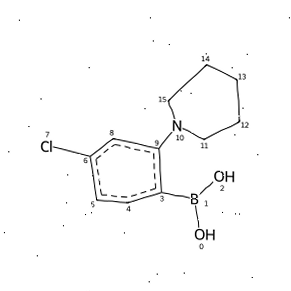 OB(O)c1ccc(Cl)cc1N1CCCCC1